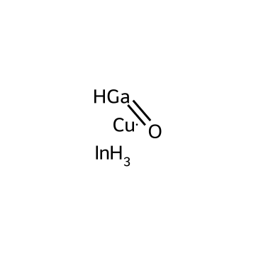 [Cu].[InH3].[O]=[GaH]